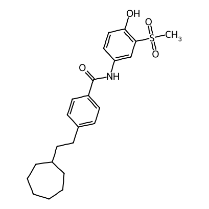 CS(=O)(=O)c1cc(NC(=O)c2ccc(CCC3CCCCCC3)cc2)ccc1O